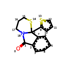 O=C1c2ccccc2C2(c3cccs3)SCCCN12